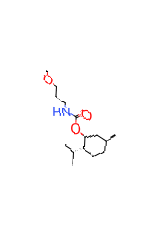 COCCCNC(=O)O[C@H]1C[C@@H](C)CC[C@@H]1C(C)C